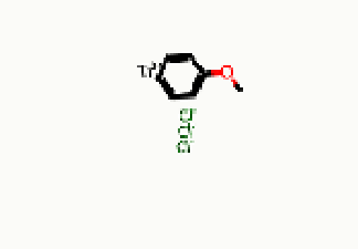 COc1ccccc1.[Cl-].[Cl-].[Cl-].[Ti+3]